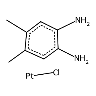 Cc1cc(N)c(N)cc1C.[Cl][Pt]